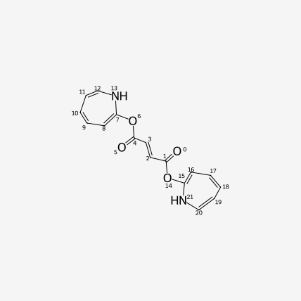 O=C(/C=C/C(=O)OC1=CC=CC=CN1)OC1=CC=CC=CN1